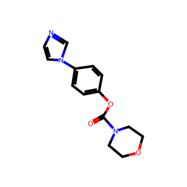 O=C(Oc1ccc(-n2ccnc2)cc1)N1CCOCC1